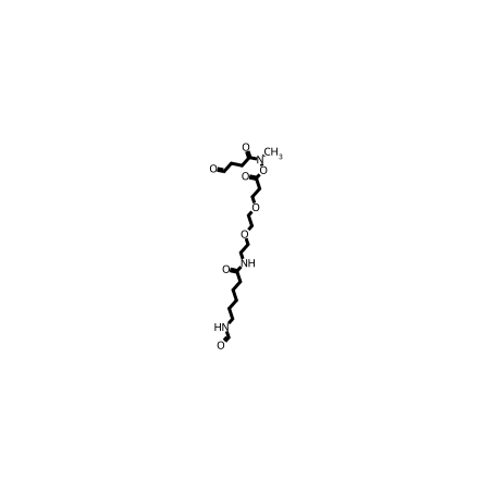 CN(OC(=O)CCOCCOCCNC(=O)CCCCCNC=O)C(=O)CCC=O